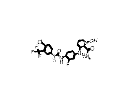 CNC(=O)C1C(Oc2ccc(NC(=O)Nc3ccc(Cl)c(C(F)(F)F)c3)c(F)c2)=CC=CN1O